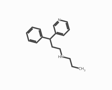 CCCNCCC(c1ccccc1)c1cccnc1